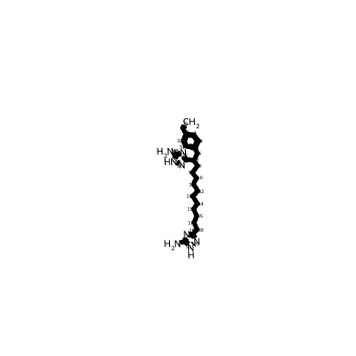 C=Cc1ccc(CC(CCCCCCCCCCCc2n[nH]c(N)n2)c2n[nH]c(N)n2)cc1